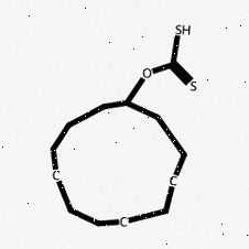 S=C(S)OC1CCCCCCCCCCC1